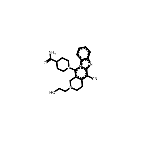 N#Cc1c2c(c(N3CCC(C(N)=O)CC3)n3c1nc1ccccc13)CN(CCO)CC2